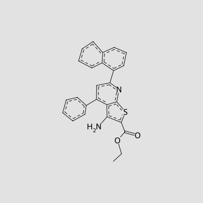 CCOC(=O)c1sc2nc(-c3cccc4ccccc34)cc(-c3ccccc3)c2c1N